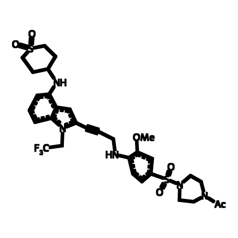 COc1cc(S(=O)(=O)N2CCN(C(C)=O)CC2)ccc1NCC#Cc1cc2c(NC3CCS(=O)(=O)CC3)cccc2n1CC(F)(F)F